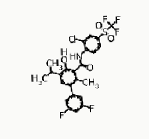 Cc1c(-c2cc(F)cc(F)c2)cc(C(C)C)c(O)c1C(=O)Nc1ccc(S(=O)(=O)C(F)(F)F)cc1Cl